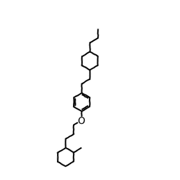 CCCC1CCC(CCc2ccc(OCCCC3CCCCC3C)cc2)CC1